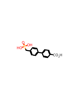 O=C(O)c1ccc(-c2ccc(CP(=O)(O)O)cc2)cc1